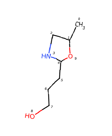 CC1CNC(CCCO)O1